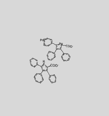 O=C([O-])c1[pH]c(-c2ccccc2)c(-c2ccccc2)c1-c1ccccc1.O=C([O-])c1[pH]c(-c2ccccc2)c(-c2ccccc2)c1-c1ccccc1.[Pd+2]